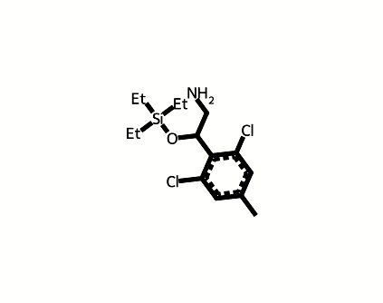 CC[Si](CC)(CC)OC(CN)c1c(Cl)cc(C)cc1Cl